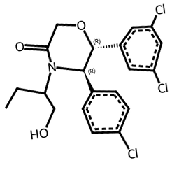 CCC(CO)N1C(=O)CO[C@H](c2cc(Cl)cc(Cl)c2)[C@H]1c1ccc(Cl)cc1